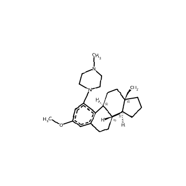 COc1cc2c(c(N3CCN(C)CC3)c1)[C@H]1CC[C@]3(C)CCC[C@H]3[C@@H]1CC2